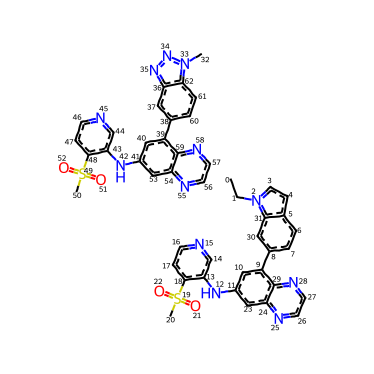 CCn1ccc2ccc(-c3cc(Nc4cnccc4S(C)(=O)=O)cc4nccnc34)cc21.Cn1nnc2cc(-c3cc(Nc4cnccc4S(C)(=O)=O)cc4nccnc34)ccc21